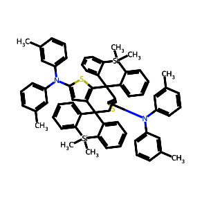 Cc1cccc(N(c2cccc(C)c2)c2cc3c(s2)C2(c4ccccc4[Si](C)(C)c4ccccc42)c2cc(N(c4cccc(C)c4)c4cccc(C)c4)sc2C32c3ccccc3[Si](C)(C)c3ccccc32)c1